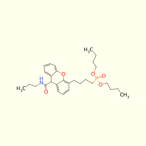 CCCCOP(=O)(CCCCc1cccc2c1Oc1ccccc1C2C(=O)NCCC)OCCCC